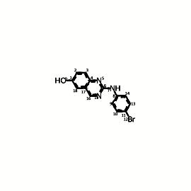 Oc1ccc2nc(Nc3ccc(Br)cc3)ncc2c1